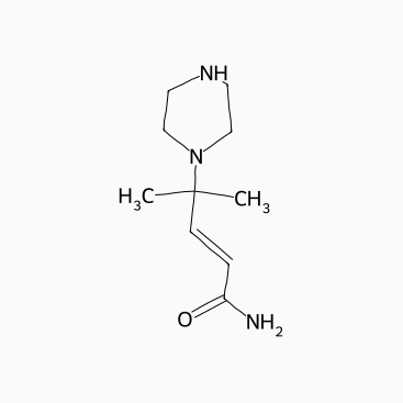 CC(C)(/C=C/C(N)=O)N1CCNCC1